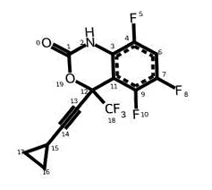 O=C1Nc2c(F)cc(F)c(F)c2C(C#CC2CC2)(C(F)(F)F)O1